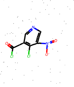 O=C(Cl)c1cncc([N+](=O)[O-])c1Cl